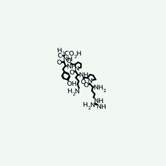 CC(NC(=O)C(Cc1ccc(O)cc1)NC(=O)C1CCCN1C(=O)C(CCCCN)NC(=O)C1CCCN1C(=O)C(N)CCCNC(=N)N)C(=O)O